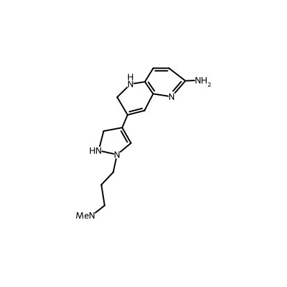 CNCCCN1C=C(C2=Cc3nc(N)ccc3NC2)CN1